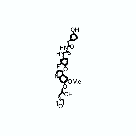 COc1cc2c(Oc3ccc(NC(=S)NC(=O)Cc4cccc(O)c4)cc3F)ccnc2cc1OCC(O)CN1CCOCC1